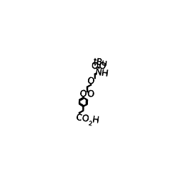 CC(C)(C)OC(=O)NCCOCCC(=O)Oc1ccc(CCC(=O)O)cc1